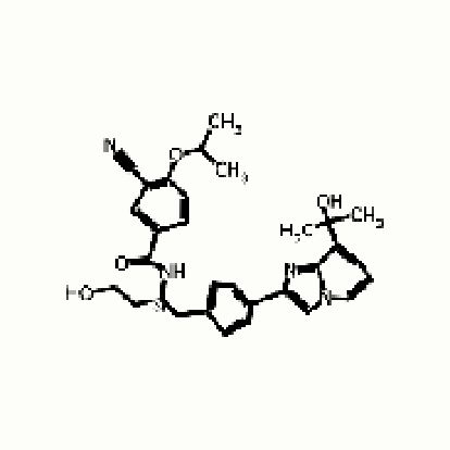 CC(C)Oc1ccc(C(=O)N[C@H](CCO)Cc2ccc(-c3cn4cccc(C(C)(C)O)c4n3)cc2)cc1C#N